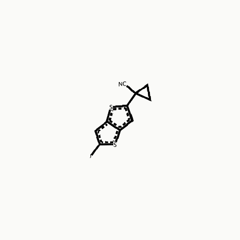 N#CC1(c2cc3sc(I)cc3s2)CC1